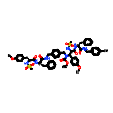 CCOc1ccc(C[C@@H](NS(C)(=O)=O)C(=O)N[C@@H](Cc2ccccc2)C(=O)NCc2ccc(CN(C(=O)OC(C)(C)C)C(c3ccc(OCC)cc3)[C@@H](NS(C)(=O)=O)C(=O)N[C@@H](Cc3ccccc3)C(=O)NCc3ccc(C#N)cc3)cc2)cc1